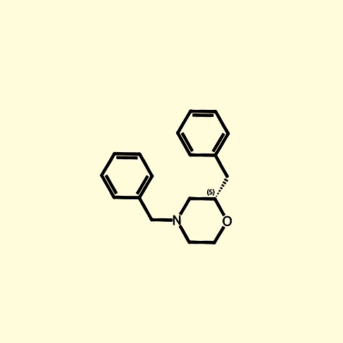 c1ccc(C[C@H]2CN(Cc3ccccc3)CCO2)cc1